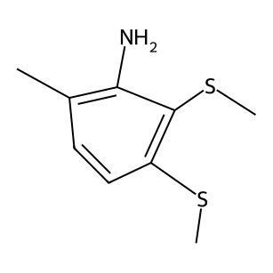 CSc1ccc(C)c(N)c1SC